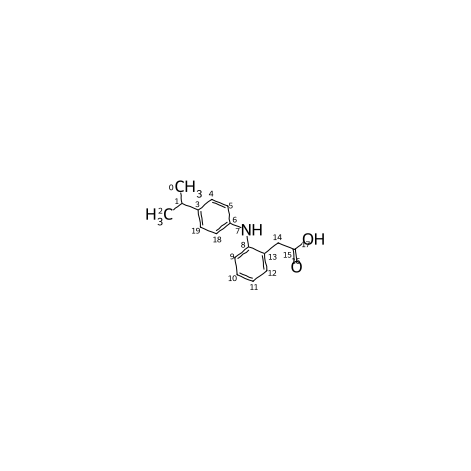 CC(C)c1ccc(Nc2ccccc2CC(=O)O)cc1